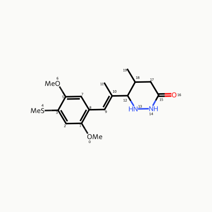 COc1cc(SC)c(OC)cc1/C=C(\C)C1NNC(=O)CC1C